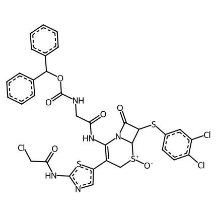 O=C(CNC(=O)OC(c1ccccc1)c1ccccc1)NC1=C(c2cnc(NC(=O)CCl)s2)C[S+]([O-])C2C(Sc3ccc(Cl)c(Cl)c3)C(=O)N12